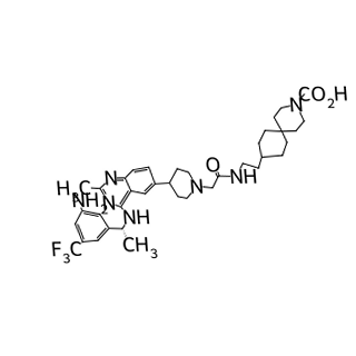 Cc1nc(N[C@H](C)c2cc(N)cc(C(F)(F)F)c2)c2cc(C3CCN(CC(=O)NCCC4CCC5(CC4)CCN(C(=O)O)CC5)CC3)ccc2n1